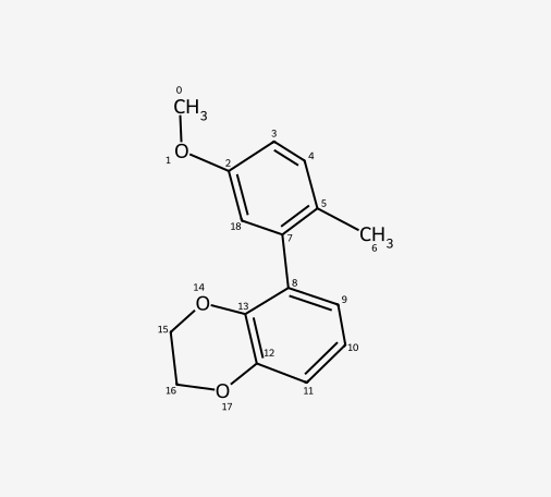 COc1ccc(C)c(-c2cccc3c2OCCO3)c1